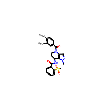 COc1ccc(C(=O)N2CCC(NC(=O)c3ccccc3S(C)(=O)=O)c3c2cnn3C)cc1OC